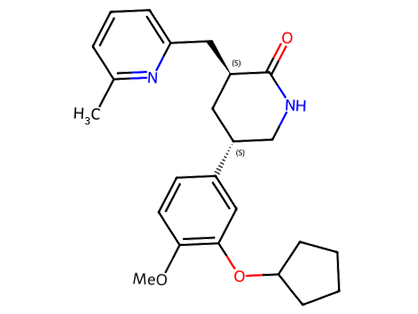 COc1ccc([C@H]2CNC(=O)[C@H](Cc3cccc(C)n3)C2)cc1OC1CCCC1